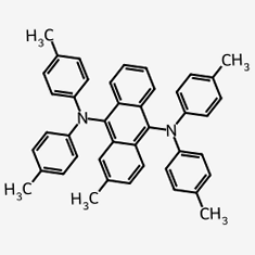 Cc1ccc(N(c2ccc(C)cc2)c2c3ccccc3c(N(c3ccc(C)cc3)c3ccc(C)cc3)c3cc(C)ccc23)cc1